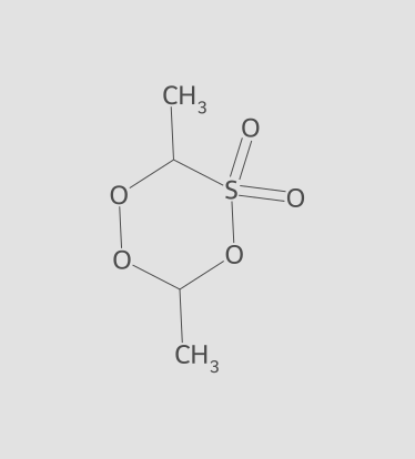 CC1OOC(C)S(=O)(=O)O1